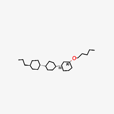 CCCCCO[C@@H]1CCC[C@H](C2CCC([C@H]3CC[C@H](CCC)CC3)CC2)C1